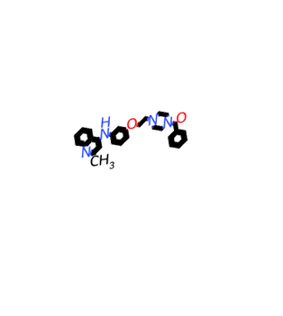 Cc1cc(Nc2cccc(OCCN3CCN(C(=O)c4ccccc4)CC3)c2)c2ccccc2n1